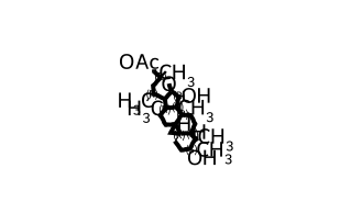 CC(=O)OC[C@@]1(C)C[C@@H](C)C2C(O1)[C@H](O)[C@@]1(C)[C@@H]3CC[C@H]4C(C)(C)[C@@H](O)CC[C@@]45CC35CC[C@]21C